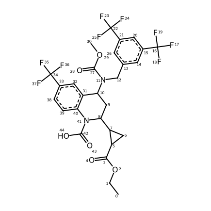 CCOC(=O)C1CC1C1CC(N(Cc2cc(C(F)(F)F)cc(C(F)(F)F)c2)C(=O)OC)c2cc(C(F)(F)F)ccc2N1C(=O)O